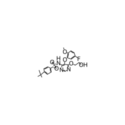 COc1ccc(F)cc1Oc1c(NS(=O)(=O)c2ccc(C(C)(C)C)cc2)ncnc1OCCO